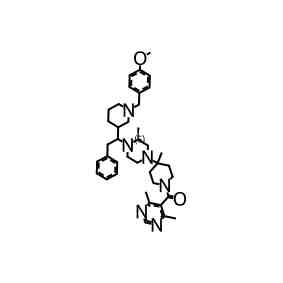 COc1ccc(CN2CCCC(C(Cc3ccccc3)N3CCN(C4(C)CCN(C(=O)c5c(C)ncnc5C)CC4)C[C@@H]3C)C2)cc1